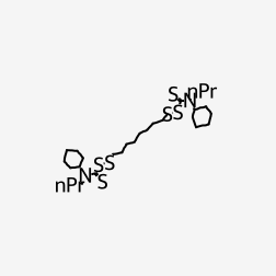 CCCN(C(=S)SSCCCCCCCCSSC(=S)N(CCC)C1CCCCC1)C1CCCCC1